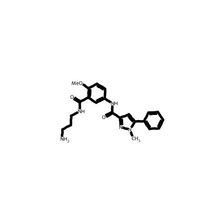 COc1ccc(NC(=O)c2cc(-c3ccccc3)n(C)n2)cc1C(=O)NCCCN